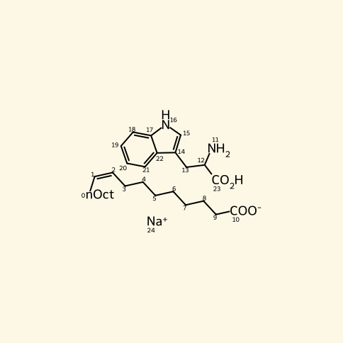 CCCCCCCC/C=C\CCCCCCCC(=O)[O-].NC(Cc1c[nH]c2ccccc12)C(=O)O.[Na+]